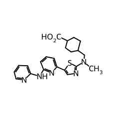 CN(CC1CCC(C(=O)O)CC1)c1ncc(-c2cccc(Nc3ccccn3)n2)s1